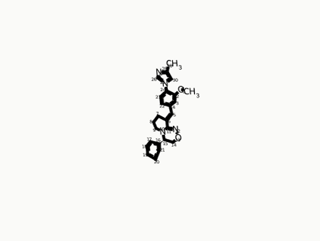 COc1cc(/C=C2\CCCN3C2=NOC[C@@H]3c2ccccc2)ccc1-n1cnc(C)c1